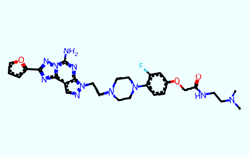 CN(C)CCNC(=O)COc1ccc(N2CCN(CCn3ncc4c3nc(N)n3nc(-c5ccco5)nc43)CC2)c(F)c1